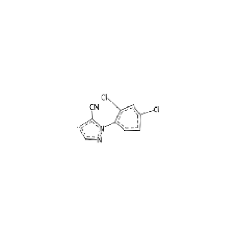 N#Cc1[c]cnn1-c1ccc(Cl)cc1Cl